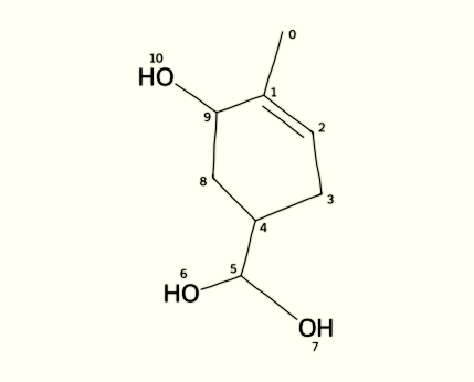 CC1=CCC(C(O)O)CC1O